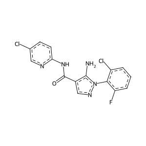 Nc1c(C(=O)Nc2ccc(Cl)cn2)cnn1-c1c(F)cccc1Cl